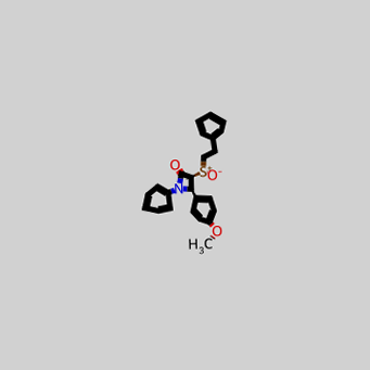 COc1ccc([C@@H]2[C@H]([S+]([O-])CCc3ccccc3)C(=O)N2c2ccccc2)cc1